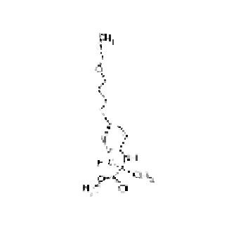 COCOCCCCc1ccc(NC(C)(C)C(=O)OC)cn1